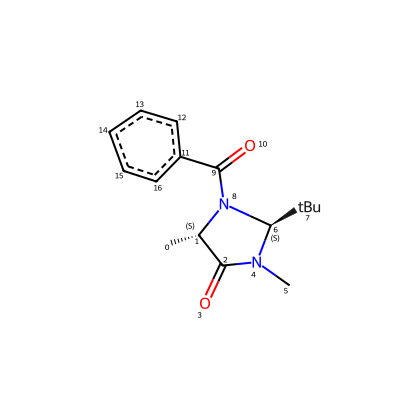 C[C@H]1C(=O)N(C)[C@H](C(C)(C)C)N1C(=O)c1ccccc1